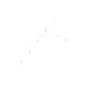 CCC/C(=C\CCCOC)OC